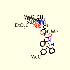 CCOC(=O)C(COC(C)=O)(COP(=O)(N[C@@H](C)C(=O)OC)OC[C@H]1O[C@@H](n2ccc(NC(c3ccccc3)(c3ccccc3)c3ccc(OC)cc3)nc2=O)[C@@H](OC)C1C)C(=O)OCC